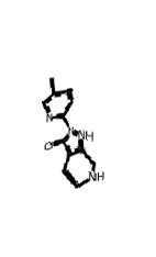 Cc1ccc(-n2[nH]c3c(c2=O)C=CNC3)nc1